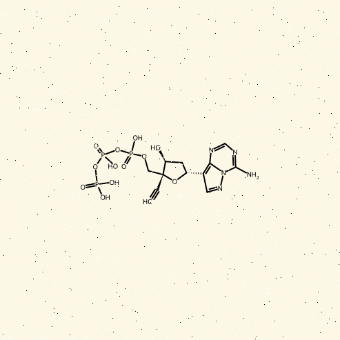 C#C[C@]1(COP(=O)(O)OP(=O)(O)OP(=O)(O)O)O[C@@H](c2cnn3c(N)ncnc23)C[C@@H]1O